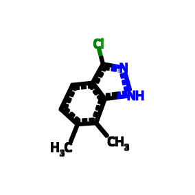 Cc1ccc2c(Cl)n[nH]c2c1C